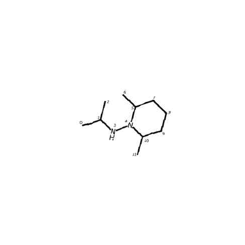 CC(C)NN1C(C)CCCC1C